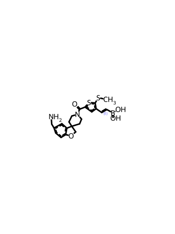 CSc1sc(C(=O)N2CCC3(CC2)COc2ccc(CN)cc23)cc1/C=C/B(O)O